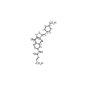 O=C(O)C=CC(=O)Nc1ccc2c(=O)n3c(nc2c1)C(=Cc1ccc(C(=O)O)cc1)CC3